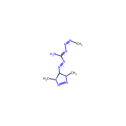 C\N=N/N=C(N)/N=N/C1N(C)N=NN1C